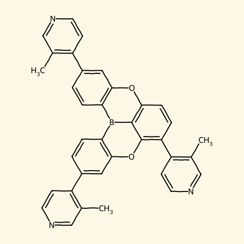 Cc1cnccc1-c1ccc2c(c1)Oc1ccc(-c3ccncc3C)c3c1B2c1ccc(-c2ccncc2C)cc1O3